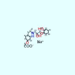 CC(Cc1ccc(OCC(=O)[O-])cc1)NCC(O)COc1ccccc1O.[Na+]